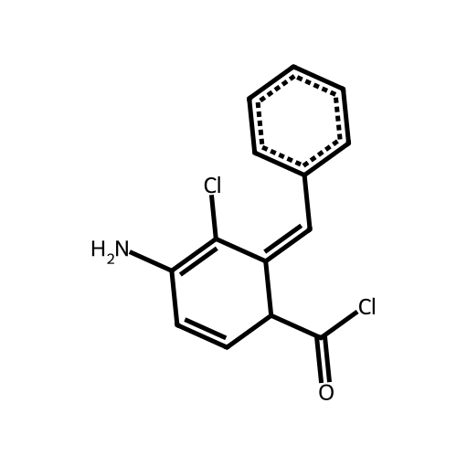 NC1=C(Cl)C(=Cc2ccccc2)C(C(=O)Cl)C=C1